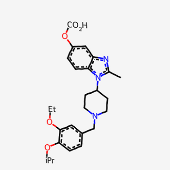 CCOc1cc(CN2CCC(n3c(C)nc4cc(OC(=O)O)ccc43)CC2)ccc1OC(C)C